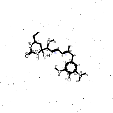 CCC1CC(O)(C(/C=C/C=C(\C)Cc2cc(OC)c(Cl)c(N(C)C)c2)OC)NC(=O)O1